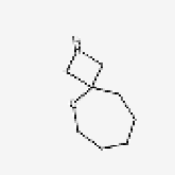 [CH]1NCC12CCCCCO2